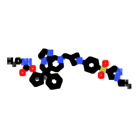 CNC(=O)O[C@H]1CCC[C@@H]1C(Cn1ccnc1)(c1ccccc1)C1CCN(CC2CN(c3ccc(S(=O)(=O)c4cnn(C)c4)cc3)C2)CC1